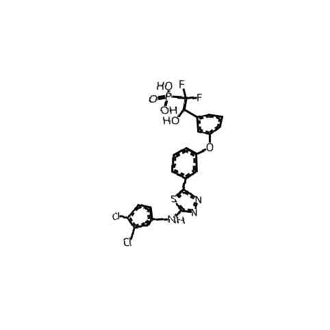 O=P(O)(O)C(F)(F)C(O)c1cccc(Oc2cccc(-c3nnc(Nc4ccc(Cl)c(Cl)c4)s3)c2)c1